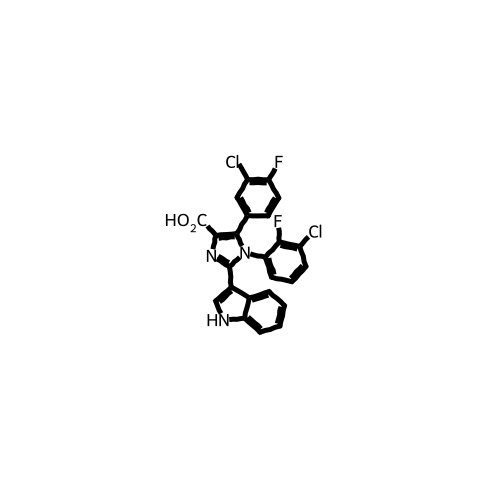 O=C(O)c1nc(-c2c[nH]c3ccccc23)n(-c2cccc(Cl)c2F)c1-c1ccc(F)c(Cl)c1